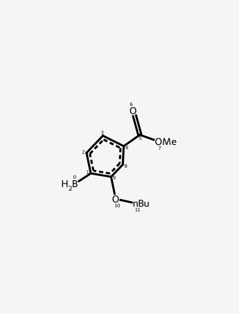 Bc1ccc(C(=O)OC)cc1OCCCC